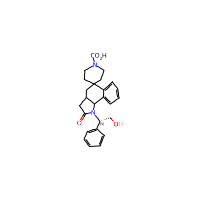 O=C(O)N1CCC2(CC1)CC1CC(=O)N([C@H](CO)c3ccccc3)C1c1ccccc12